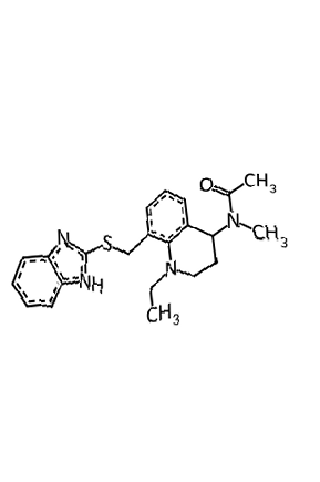 CCN1CCC(N(C)C(C)=O)c2cccc(CSc3nc4ccccc4[nH]3)c21